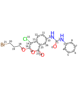 O=C(Nc1ccccc1)Nc1ccc2c(Cl)c(OCCCBr)oc(=O)c2c1